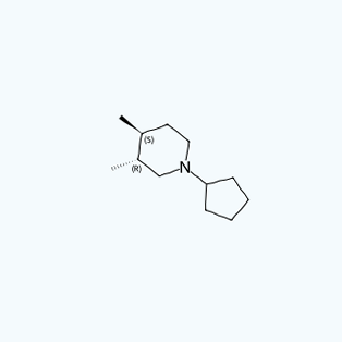 C[C@H]1CCN(C2CCCC2)C[C@@H]1C